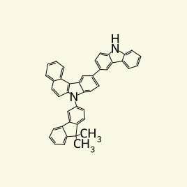 CC1(C)c2ccccc2-c2cc(-n3c4ccc(-c5ccc6[nH]c7ccccc7c6c5)cc4c4c5ccccc5ccc43)ccc21